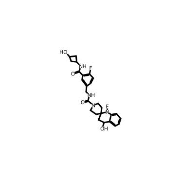 O=C(NC1CC(O)C1)c1cc(CNC(=O)N2CCC3(CC2)CC(O)c2ccccc2N3F)ccc1F